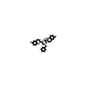 OC1([C@@H]2CCc3cc(F)ccc3O2)CN(Cc2ccccc2)CC(C2CCc3cc(F)ccc3O2)O1